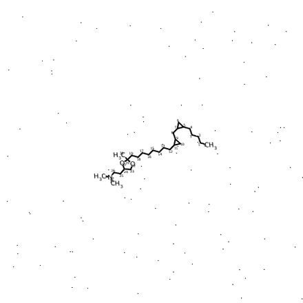 CCCCCC1CC1CC1CC1CCCCCCCCC1(C)OCC(CCN(C)C)O1